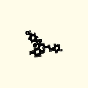 O=S(=O)(c1ccc(Cl)cc1)C(CCCCN1CCCC1)c1cc(F)ccc1F